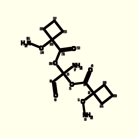 NOC1(C(=O)OC(N)(C=O)OC(=O)C2(ON)CCC2)CCC1